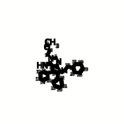 COCCn1cnc2c(c(-c3ccccc3)c(-c3ccccc3)n2CCc2ccccc2)c1=N